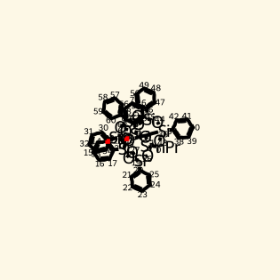 CCC[Si]12O[Si]3(c4ccccc4)O[Si]4(c5ccccc5)O[Si](c5ccccc5)(O1)O[Si]1(c5ccccc5)O[Si](c5ccccc5)(O2)O[Si](c2ccccc2)(O3)O[Si](c2ccccc2)(O4)O1